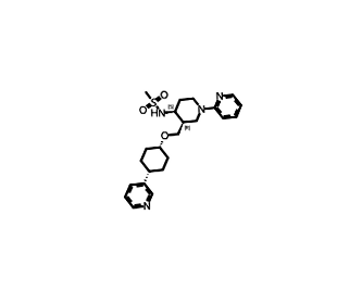 CS(=O)(=O)N[C@H]1CCN(c2ccccn2)C[C@H]1CO[C@H]1CC[C@@H](c2cccnc2)CC1